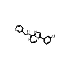 Clc1cccc(-c2cnc3c(NCc4cccnc4)nccn23)c1